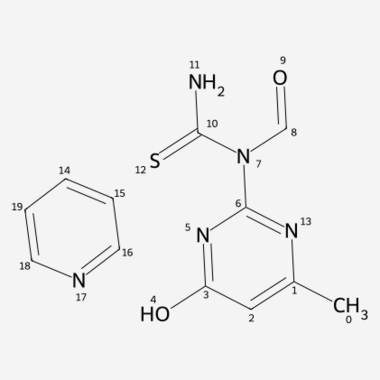 Cc1cc(O)nc(N(C=O)C(N)=S)n1.c1ccncc1